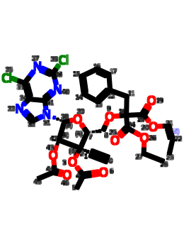 C#C[C@@]1(OC(C)=O)[C@@H](COC(Cc2ccccc2)(C(=O)O/C=C\C)C(=O)OCC)O[C@@H](n2cnc3c(Cl)nc(Cl)nc32)[C@@H]1OC(C)=O